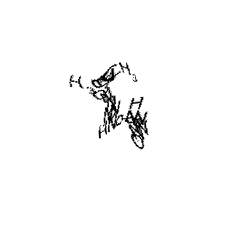 CN(C)C/C=C/C(=O)N1CCN(c2ncc(Nc3ccc(-c4cc5c(N6CCOCC6)ncnc5[nH]4)cc3)cn2)CC1